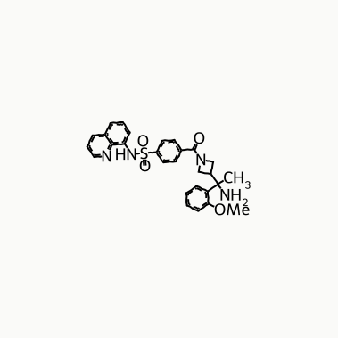 COc1ccccc1C(C)(N)C1CN(C(=O)c2ccc(S(=O)(=O)Nc3cccc4cccnc34)cc2)C1